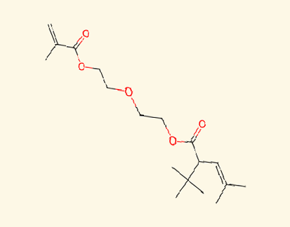 C=C(C)C(=O)OCCOCCOC(=O)C(C=C(C)C)C(C)(C)C